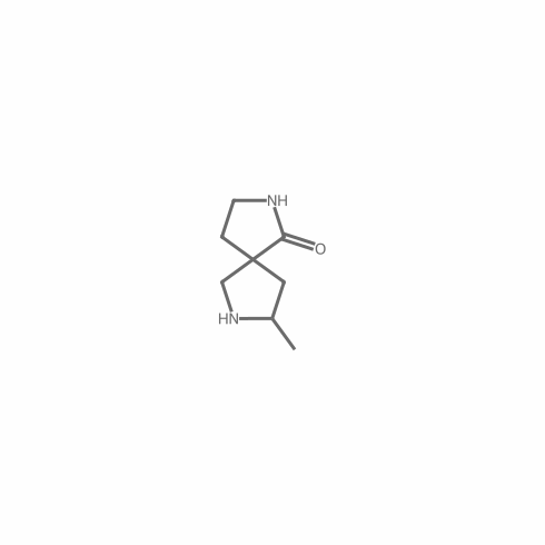 CC1CC2(CCNC2=O)CN1